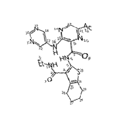 CCNC(=O)c1c(NC(=O)c2nc(C(C)=O)cnc2Nc2cncnc2)sc2c1CCCC2